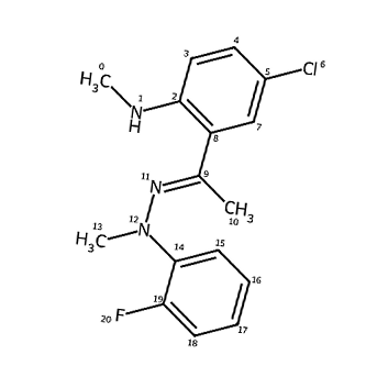 CNc1ccc(Cl)cc1/C(C)=N/N(C)c1ccccc1F